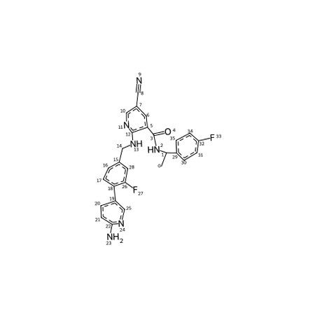 CC(NC(=O)c1cc(C#N)cnc1NCc1ccc(-c2ccc(N)nc2)c(F)c1)c1ccc(F)cc1